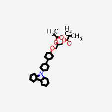 C=CC(=O)OC(COC(=O)C(=C)C)COc1ccc(-c2ccc(-n3c4ccccc4c4ccccc43)cc2)cc1